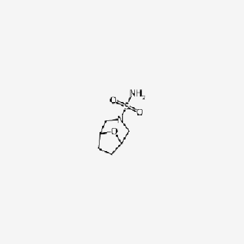 NS(=O)(=O)N1CC2CCC(C1)O2